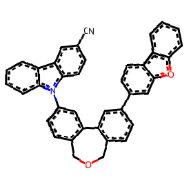 N#Cc1ccc2c(c1)c1ccccc1n2-c1ccc2c(c1)-c1cc(-c3ccc4c(c3)oc3ccccc34)ccc1COC2